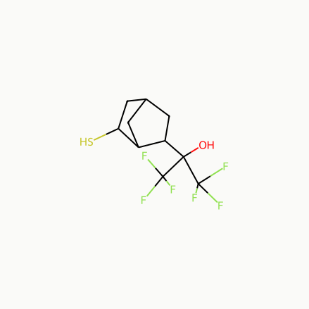 OC(C1CC2CC(S)C1C2)(C(F)(F)F)C(F)(F)F